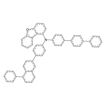 c1ccc(-c2ccc(-c3ccc(N(c4ccc(-c5ccc6c(-c7ccccc7)cccc6c5)cc4)c4cccc5oc6ccccc6c45)cc3)cc2)cc1